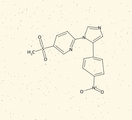 CS(=O)(=O)c1ccc(-n2cncc2-c2ccc([N+](=O)[O-])cc2)nc1